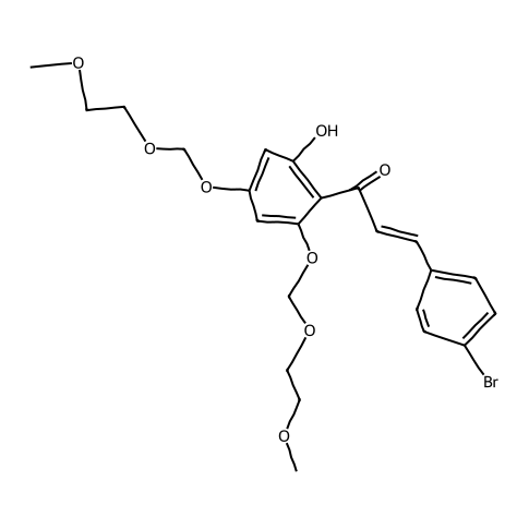 COCCOCOc1cc(O)c(C(=O)/C=C/c2ccc(Br)cc2)c(OCOCCOC)c1